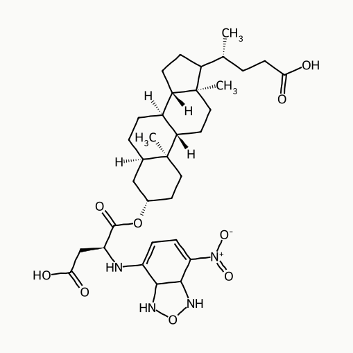 C[C@H](CCC(=O)O)C1CC[C@H]2[C@@H]3CC[C@@H]4C[C@@H](OC(=O)[C@H](CC(=O)O)NC5=CC=C([N+](=O)[O-])C6NONC56)CC[C@]4(C)[C@H]3CC[C@]12C